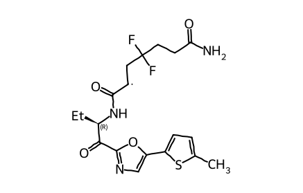 CC[C@@H](NC(=O)[CH]CC(F)(F)CCC(N)=O)C(=O)c1ncc(-c2ccc(C)s2)o1